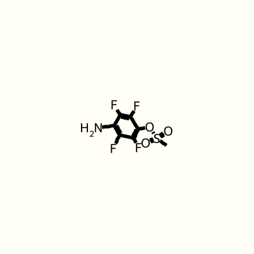 CS(=O)(=O)Oc1c(F)c(F)c(N)c(F)c1F